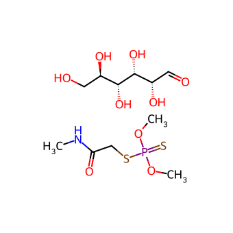 CNC(=O)CSP(=S)(OC)OC.O=C[C@H](O)[C@@H](O)[C@H](O)[C@H](O)CO